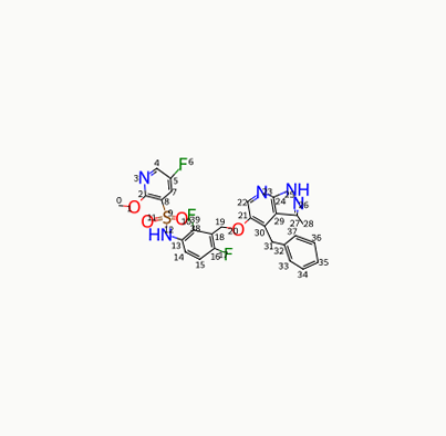 COc1ncc(F)cc1S(=O)(=O)Nc1ccc(F)c(COc2cnc3[nH]nc(C)c3c2Cc2ccccc2)c1F